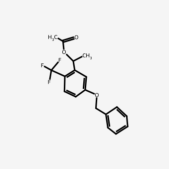 CC(=O)OC(C)c1cc(OCc2ccccc2)ccc1C(F)(F)F